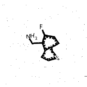 NCc1c(F)ccc2sccc12